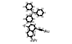 CCCc1ccc2c(F)ccc(C#[C][Au])c2n1.c1ccc(P(c2ccccc2)c2ccccc2)cc1